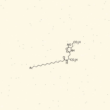 CC(=O)CCCCCCCCCCCCCCC(=O)NC(CCC(=O)NC(CCC(=O)O)C(=O)N=O)C(=O)O